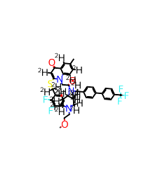 [2H]c1c(C)c([2H])c2c(=O)c([2H])c(SC([2H])([2H])c3cccc(F)c3F)n(CC(=O)N(C([2H])([2H])c3ccc(-c4ccc(C(F)(F)F)cc4)cc3)C3([2H])C([2H])([2H])C([2H])([2H])N(CCOC)C([2H])([2H])C3([2H])[2H])c2c1[2H]